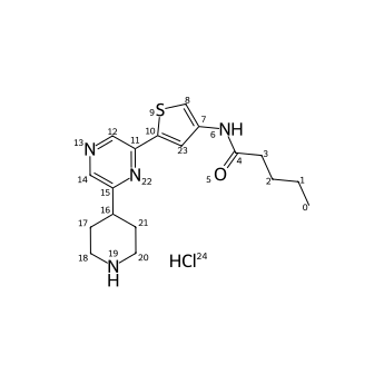 CCCCC(=O)Nc1csc(-c2cncc(C3CCNCC3)n2)c1.Cl